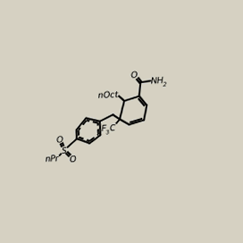 CCCCCCCCC1C(C(N)=O)=CC=CC1(Cc1ccc(S(=O)(=O)CCC)cc1)C(F)(F)F